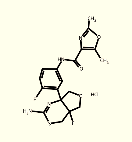 Cc1nc(C(=O)Nc2ccc(F)c(C34COCC3(F)CSC(N)=N4)c2)c(C)o1.Cl